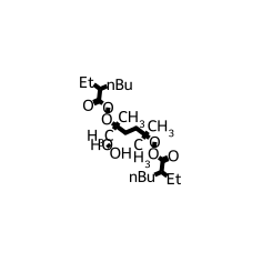 CCCCC(CC)C(=O)OOC(C)(C)CCC(C)(C)OOC(=O)C(CC)CCCC.OO